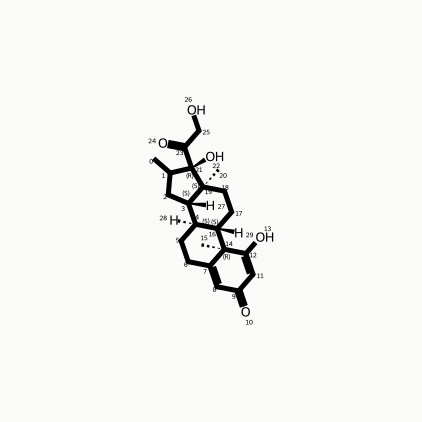 CC1C[C@H]2[C@@H]3CCC4=CC(=O)C=C(O)[C@]4(C)[C@H]3CC[C@]2(C)[C@@]1(O)C(=O)CO